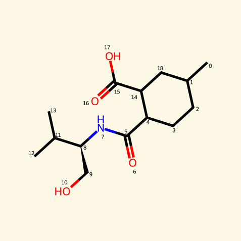 CC1CCC(C(=O)N[C@@H](CO)C(C)C)C(C(=O)O)C1